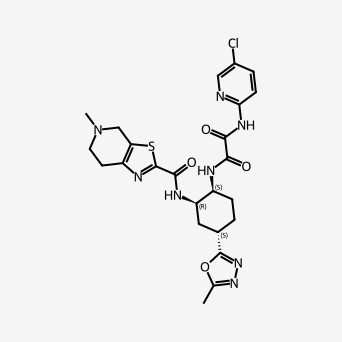 Cc1nnc([C@H]2CC[C@H](NC(=O)C(=O)Nc3ccc(Cl)cn3)[C@H](NC(=O)c3nc4c(s3)CN(C)CC4)C2)o1